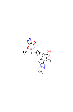 CC[C@@H]1CN(Cc2cc([C@@H](c3ccc4c(nnn4CC)c3C)C(C)(C)C(=O)O)sc2Cl)S(=O)(=O)c2cnccc2O1